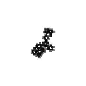 C1=CCC2Oc3ccc(-c4nc(-c5ccccc5)nc(-c5ccc(-c6cccc7cc[nH]c67)cc5)n4)cc3C3(C2=C1)c1ccccc1C1C=CC=CC13